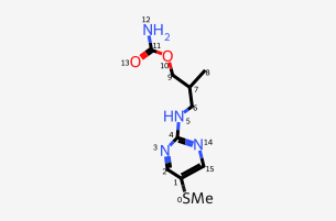 CSc1cnc(NCC(C)COC(N)=O)nc1